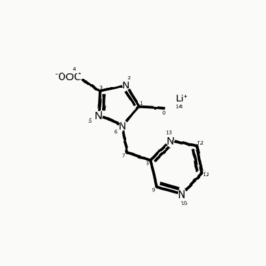 Cc1nc(C(=O)[O-])nn1Cc1cnccn1.[Li+]